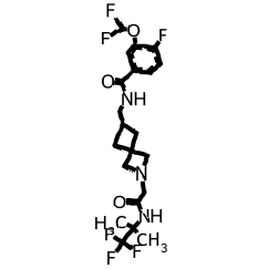 CC(C)(NC(=O)CN1CC2(CC(CNC(=O)c3ccc(F)c(OC(F)F)c3)C2)C1)C(F)(F)F